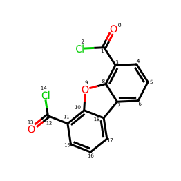 O=C(Cl)c1cccc2c1oc1c(C(=O)Cl)cccc12